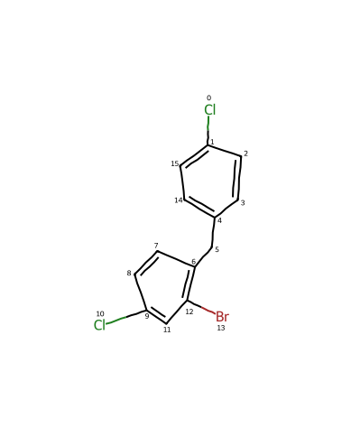 Clc1ccc(Cc2ccc(Cl)cc2Br)cc1